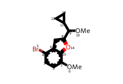 COc1ccc(Br)c2cc(C(OC)C3CC3)oc12